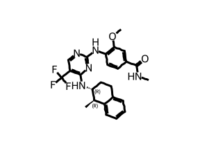 CNC(=O)c1ccc(Nc2ncc(C(F)(F)F)c(N[C@@H]3CCc4ccccc4[C@H]3C)n2)c(OC)c1